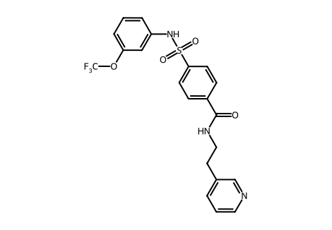 O=C(NCCc1cccnc1)c1ccc(S(=O)(=O)Nc2cccc(OC(F)(F)F)c2)cc1